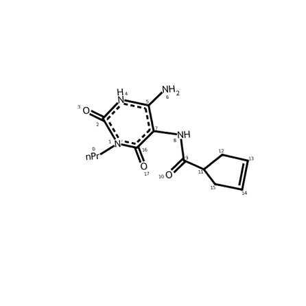 CCCn1c(=O)[nH]c(N)c(NC(=O)C2CC=CC2)c1=O